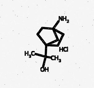 CC(C)(O)C12CCC(N)(CC1)C2.Cl